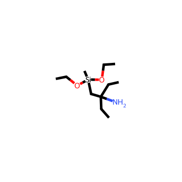 CCO[Si](C)(CC(N)(CC)CC)OCC